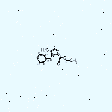 CCOC(=O)c1ccc(C)n1Cc1ccccc1